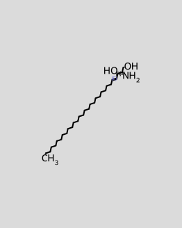 CCCCCCCCCCCCCCCCCCCCCCCCC/C=C/[C@@H](O)[C@@H](N)CO